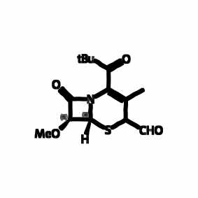 CO[C@H]1C(=O)N2C(C(=O)C(C)(C)C)=C(C)C(C=O)S[C@H]12